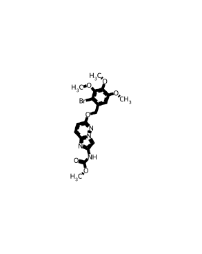 COC(=O)Nc1cn2nc(OCc3cc(OC)c(OC)c(OC)c3Br)ccc2n1